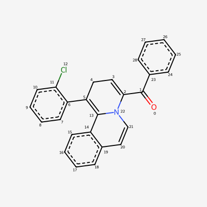 O=C(C1=CCC(c2ccccc2Cl)=C2c3ccccc3C=CN12)c1ccccc1